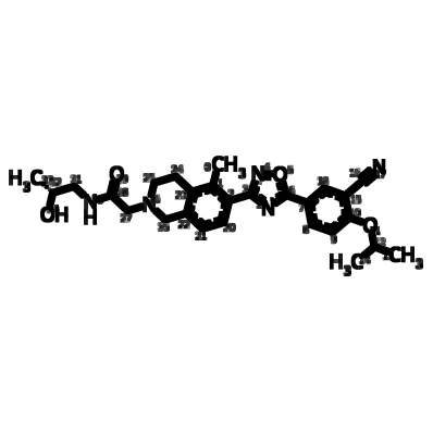 Cc1c(-c2noc(-c3ccc(OC(C)C)c(C#N)c3)n2)ccc2c1CCN(CC(=O)NC[C@@H](C)O)C2